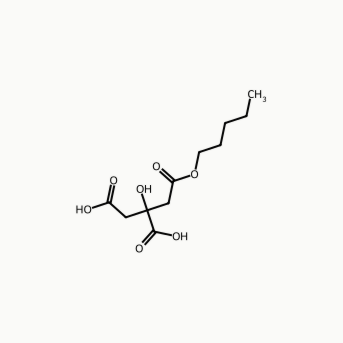 CCCCCOC(=O)CC(O)(CC(=O)O)C(=O)O